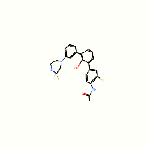 CC(=O)Nc1ccc(-c2cccc(-c3cccc(N4CCN[C@@H](C)C4)c3)c2O)cc1F